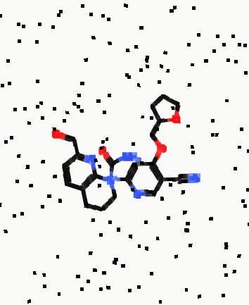 N#Cc1cnc([N+]2(C(N)=O)CCCc3ccc(C=O)nc32)cc1OCC1CCCO1